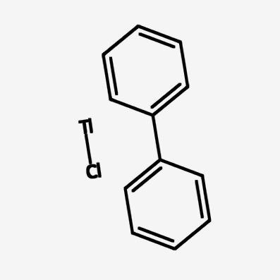 [Cl][Tl].c1ccc(-c2ccccc2)cc1